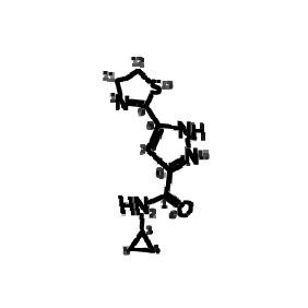 O=C(NC1CC1)c1cc(C2=NCCS2)[nH]n1